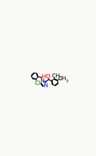 Cc1cccc(C(O)c2nccn2Cc2ccccc2Cl)c1C